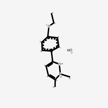 CCOc1ccc(C2=CC=C(C)N(C)O2)cc1.Cl